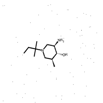 CCC(C)(C)N1C[C@@H](N)[C@H](O)[C@@H](C)C1